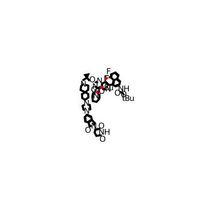 CC(C)(C)OC(=O)Nc1cc(-c2ncc3c(N4CC5CCC(C4)N5C(=O)OC(C)(C)C)nc(OCC4(CN5CCC6(CCC(N7CCN(c8ccc9c(c8)CN([C@H]8CCC(=O)NC8=O)C9=O)CC7)CC6)CC5)CC4)nc3c2F)c2c(F)c(F)ccc2c1